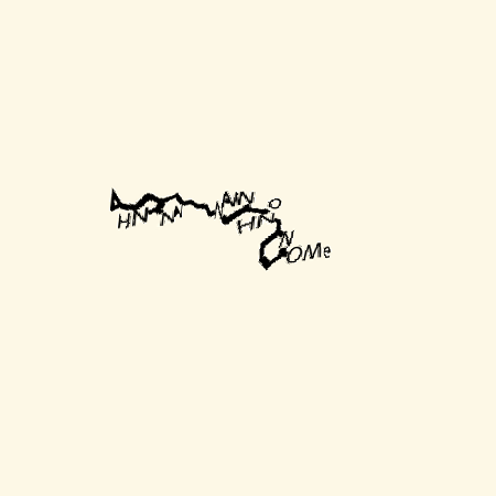 COc1cccc(CNC(=O)c2cn(CCCCc3cc4cc(C5CC5)[nH]c4nn3)nn2)n1